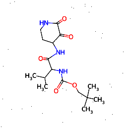 CC(C)C(NC(=O)OCC(C)(C)C)C(=O)NC1CCNC(=O)C1=O